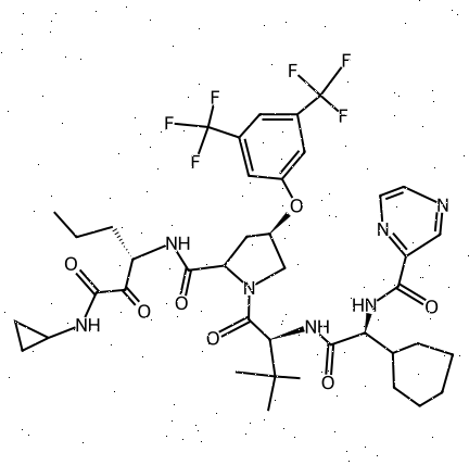 CCC[C@H](NC(=O)C1C[C@@H](Oc2cc(C(F)(F)F)cc(C(F)(F)F)c2)CN1C(=O)[C@@H](NC(=O)[C@@H](NC(=O)c1cnccn1)C1CCCCC1)C(C)(C)C)C(=O)C(=O)NC1CC1